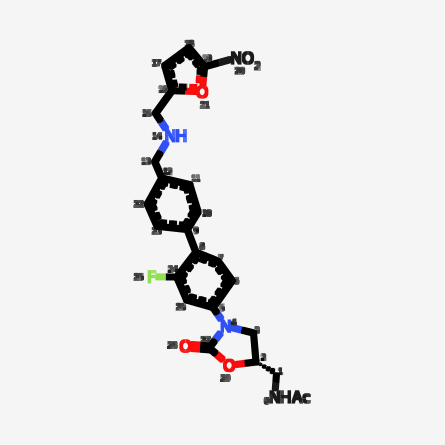 CC(=O)NC[C@H]1CN(c2ccc(-c3ccc(CNCc4ccc([N+](=O)[O-])o4)cc3)c(F)c2)C(=O)O1